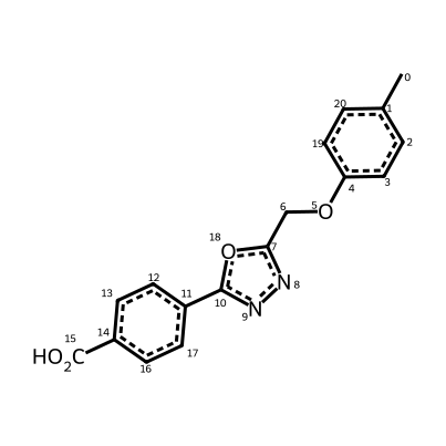 Cc1ccc(OCc2nnc(-c3ccc(C(=O)O)cc3)o2)cc1